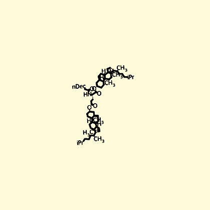 CCCCCCCCCCCC(=O)N[C@@H](CCC(=O)O[C@H]1CC[C@@]2(C)C(=CC[C@H]3[C@@H]4CC[C@H]([C@H](C)CCCC(C)C)[C@@]4(C)CC[C@@H]32)C1)C(=O)O[C@H]1CC[C@@]2(C)C(=CC[C@H]3[C@@H]4CC[C@H]([C@H](C)CCCC(C)C)[C@@]4(C)CC[C@@H]32)C1